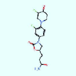 NC(=O)CCC1CN(c2ccc(N3CCC(=O)C(F)C3)c(F)c2)C(=O)O1